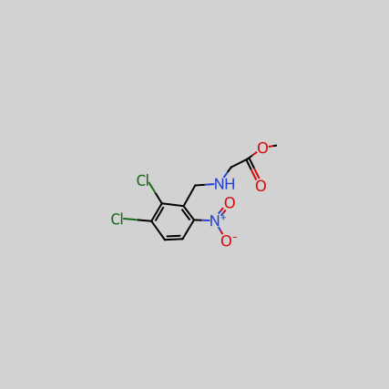 COC(=O)CNCc1c([N+](=O)[O-])ccc(Cl)c1Cl